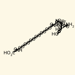 C/N=C(\CCCCNC(=O)CCOCCOCCOCCOCCOCCOCCOCCOCCOCCOCCOCCOCCNC(=O)CCC(=O)O)C(=O)N[C@H](C(=O)NCC(=O)[C@@H](CCCNC(N)=O)CNc1ccc(CO)cc1)C(C)C